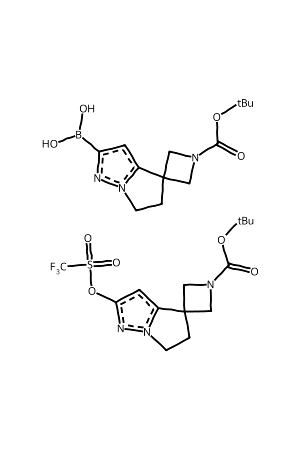 CC(C)(C)OC(=O)N1CC2(CCn3nc(B(O)O)cc32)C1.CC(C)(C)OC(=O)N1CC2(CCn3nc(OS(=O)(=O)C(F)(F)F)cc32)C1